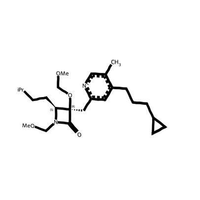 COCO[C@@]1(Cc2cc(CCCC3CC3)c(C)cn2)C(=O)N(COC)[C@H]1CCC(C)C